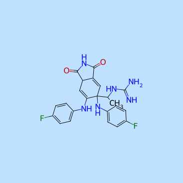 CC(NC(=N)N)C1(Nc2ccc(F)cc2)C=C2C(=O)NC(=O)C2C=C1Nc1ccc(F)cc1